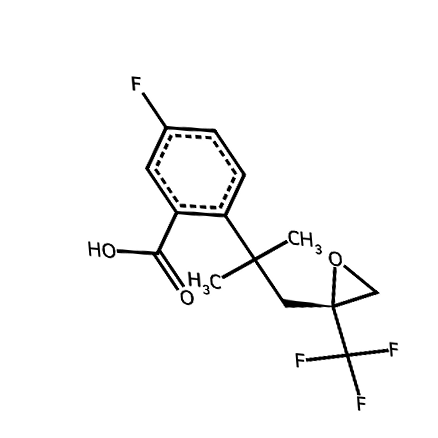 CC(C)(C[C@]1(C(F)(F)F)CO1)c1ccc(F)cc1C(=O)O